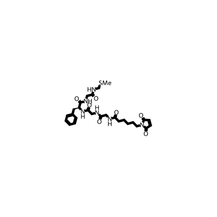 CSCNC(=O)CNC(=O)[C@H](Cc1ccccc1)NC(=O)CNC(=O)CNC(=O)CCCCCN1C(=O)C=CC1=O